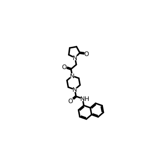 O=C(CN1CCCC1=O)N1CCN(C(=O)Nc2cccc3ccccc23)CC1